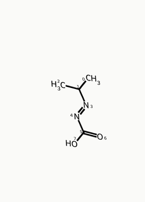 CC(C)N=NC(=O)O